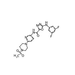 CS(=O)(=O)N1CCN(c2ccc(NC(=O)c3nnc(Nc4cc(F)cc(F)c4)o3)cn2)CC1